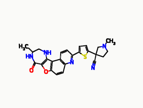 CC1CNc2c(oc3ccc4nc(-c5ccc(C6(C#N)CCN(C)C6)s5)ccc4c23)C(=O)N1